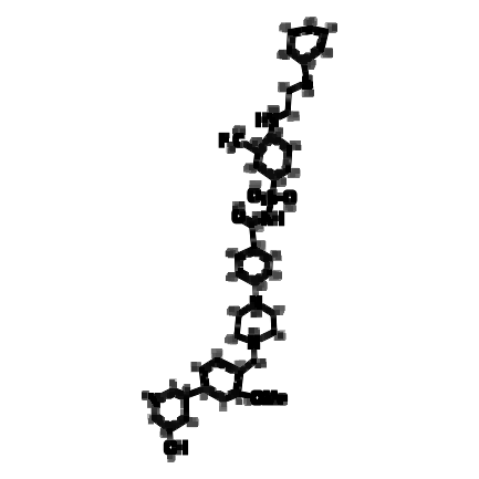 COc1cc(-c2cncc(O)c2)ccc1CN1CCN(c2ccc(C(=O)NS(=O)(=O)c3ccc(NCCSc4ccccc4)c(C(F)(F)F)c3)cc2)CC1